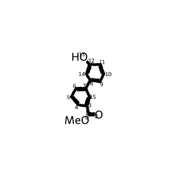 COC(=O)c1cccc(-c2cccc(O)c2)c1